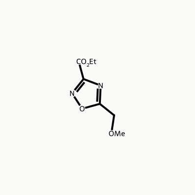 CCOC(=O)c1noc(COC)n1